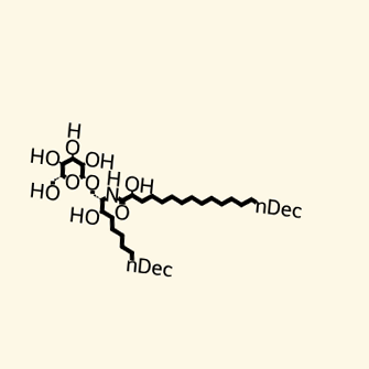 CCCCCCCCCCCCCCCCCCCCCC[C@@H](O)C(=O)N[C@@H](CO[C@@H]1O[C@H](CO)[C@H](O)[C@H](O)[C@H]1O)[C@H](O)CCCCCCCCCCCCCCC